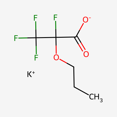 CCCOC(F)(C(=O)[O-])C(F)(F)F.[K+]